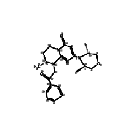 C[C@@H]1COC[C@@H](C)N1c1cc(=O)n2c(n1)N(CC(=O)c1ccccc1)[C@H](C(F)(F)F)CC2